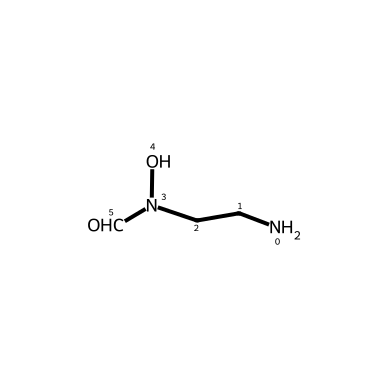 NCCN(O)C=O